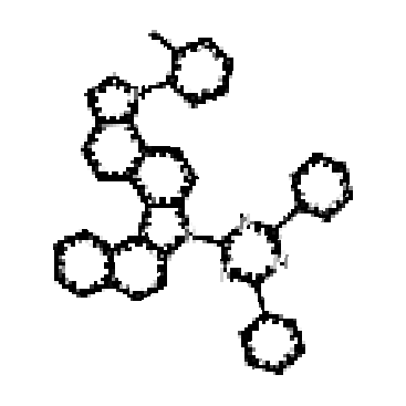 Cc1ccccc1-n1ccc2ccc3c(ccc4c3c3c5ccccc5ccc3n4-c3nc(-c4ccccc4)nc(-c4ccccc4)n3)c21